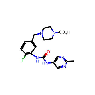 Cc1ncc(NC(=O)Nc2cc(CN3CCN(C(=O)O)CC3)ccc2F)cn1